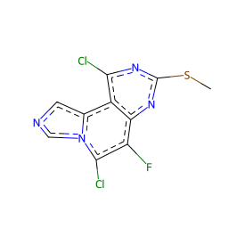 CSc1nc(Cl)c2c(n1)c(F)c(Cl)n1cncc21